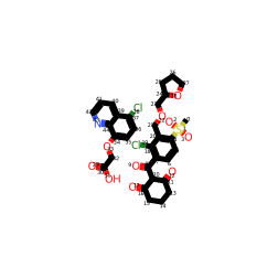 CS(=O)(=O)c1ccc(C(=O)C2C(=O)CCCC2=O)c(Cl)c1COCC1CCCO1.O=C(O)COc1ccc(Cl)c2cccnc12